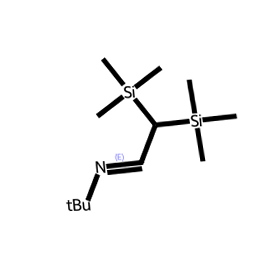 CC(C)(C)/N=C/C([Si](C)(C)C)[Si](C)(C)C